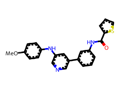 COc1ccc(Nc2cncc(-c3cccc(NC(=O)c4cccs4)c3)c2)cc1